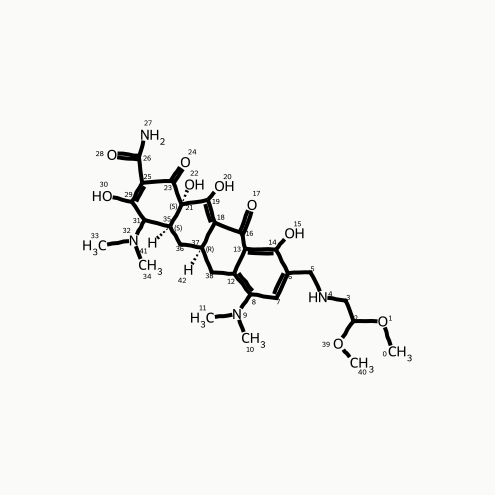 COC(CNCc1cc(N(C)C)c2c(c1O)C(=O)C1=C(O)[C@]3(O)C(=O)C(C(N)=O)=C(O)C(N(C)C)[C@@H]3C[C@@H]1C2)OC